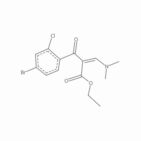 CCOC(=O)/C(=C\N(C)C)C(=O)c1ccc(Br)cc1Cl